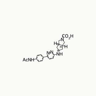 CC(=O)Nc1ccc(-c2ccc(N[C@@H]3C[C@@H]4CN(C(=O)O)C[C@@H]4C3)nn2)cc1